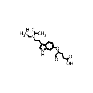 CCN(CCc1c[nH]c2cc(OC(C=O)CCC(=O)O)ccc12)C(C)C